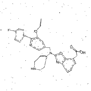 CCOc1cc(CN(c2nc3cccc(C(=O)O)c3o2)C2CCNCC2)ccc1-c1ccc(F)cc1